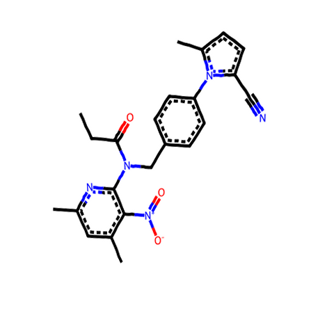 CCC(=O)N(Cc1ccc(-n2c(C)ccc2C#N)cc1)c1nc(C)cc(C)c1[N+](=O)[O-]